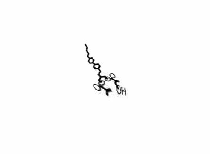 C=C(C)C(=O)OCC(CCc1ccc(C2CCC(CCCCC)CC2)cc1)COC(=O)C(=C)CO